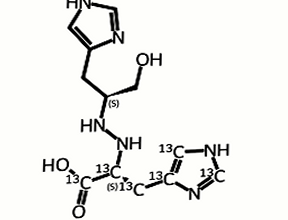 O=[13C](O)[13C@H]([13CH2][13c]1[13cH][nH][13cH]n1)NN[C@H](CO)Cc1c[nH]cn1